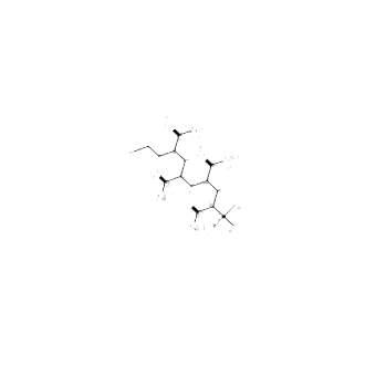 CCCC(CC(CC(CC(C(N)=O)C(C)(C)C)C(N)=O)C(N)=O)C(N)=O